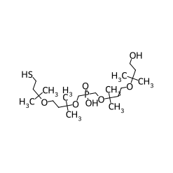 CC(C)(CCO)OCCC(C)(C)OCP(=O)(O)COC(C)(C)CCOC(C)(C)CCS